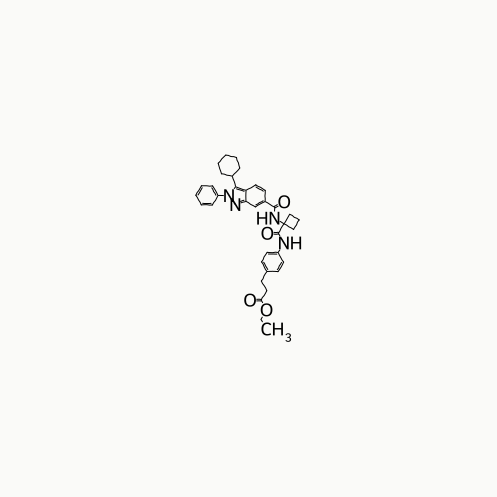 CCOC(=O)CCc1ccc(NC(=O)C2(NC(=O)c3ccc4c(C5CCCCC5)n(-c5ccccc5)nc4c3)CCC2)cc1